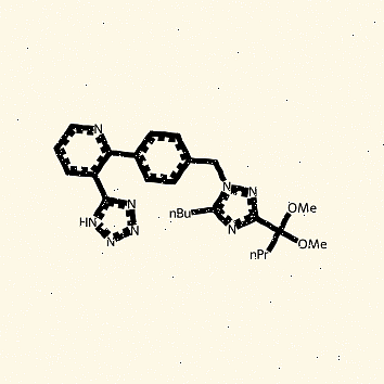 CCCCc1nc(C(CCC)(OC)OC)nn1Cc1ccc(-c2ncccc2-c2nnn[nH]2)cc1